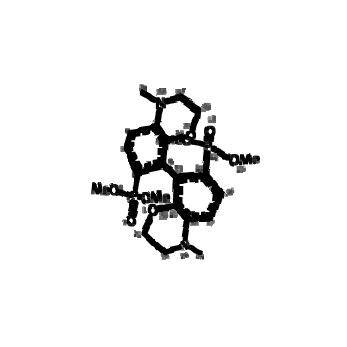 COP(=O)(OC)c1ccc2c(c1-c1c(P(=O)(OC)OC)ccc3c1OCCN3C)OCCN2C